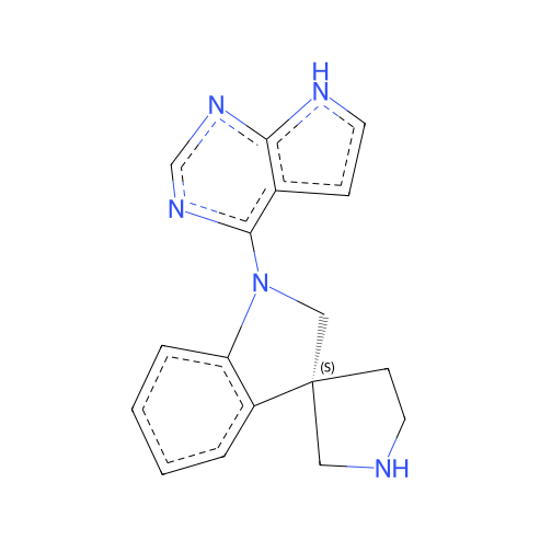 c1ccc2c(c1)N(c1ncnc3[nH]ccc13)C[C@@]21CCNC1